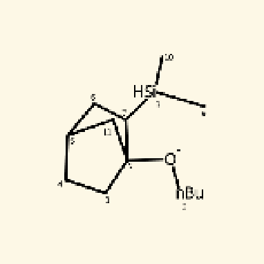 CCCCOC12CCC(CC1[SiH](C)C)C2